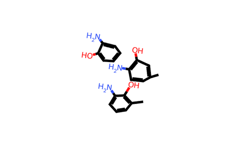 Cc1ccc(N)c(O)c1.Cc1cccc(N)c1O.Nc1ccccc1O